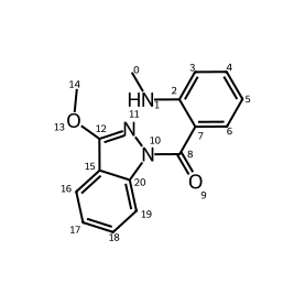 CNc1ccccc1C(=O)n1nc(OC)c2ccccc21